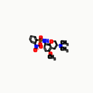 COc1ccc(NS(=O)(=O)c2ccccc2[N+](=O)[O-])c2c1C[C@@H](N(C)C)CO2